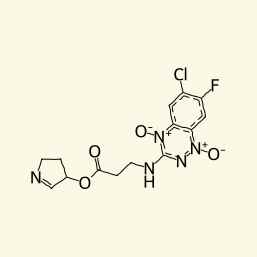 O=C(CCNc1n[n+]([O-])c2cc(F)c(Cl)cc2[n+]1[O-])OC1C=NCC1